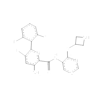 Nc1cc(F)c(-c2c(F)cccc2F)nc1C(=O)Nc1cncnc1OC1CNC1